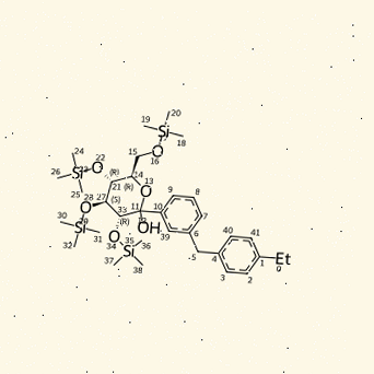 CCc1ccc(Cc2cccc(C3(O)O[C@H](CO[Si](C)(C)C)[C@@H](O[Si](C)(C)C)[C@H](O[Si](C)(C)C)[C@H]3O[Si](C)(C)C)c2)cc1